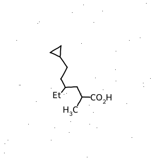 CCC(CCC1CC1)CC(C)C(=O)O